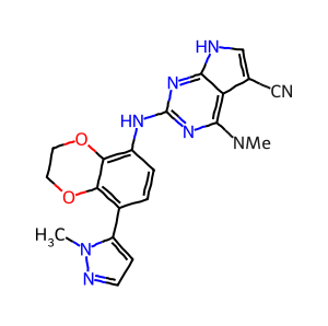 CNc1nc(Nc2ccc(-c3ccnn3C)c3c2OCCO3)nc2[nH]cc(C#N)c12